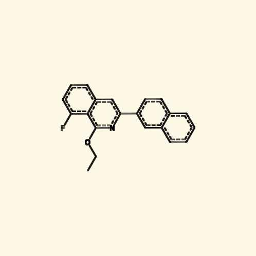 CCOc1nc(-c2ccc3ccccc3c2)cc2cccc(F)c12